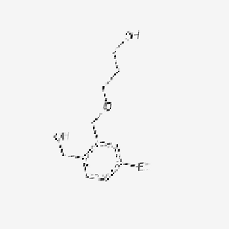 CCc1ccc(CO)c(COCCCO)c1